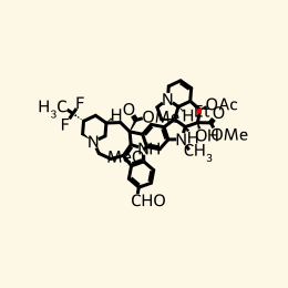 CC[C@]12C=CCN3CC[C@@]4(c5cc([C@@]6(C(=O)OC)C[C@@H]7C[C@@H](C(C)(F)F)C[N@](CCc8c6[nH]c6ccc(C=O)cc86)C7)c(OC)cc5N(C)[C@H]4[C@@](O)(C(=O)OC)[C@@H]1OC(C)=O)[C@@H]32